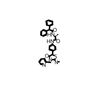 C/N=C1\SC(c2ccc(NC(=O)[C@H](C)NC(=O)C(c3ccccc3)c3ccccc3)cc2)C(=O)N1Cc1ccccn1